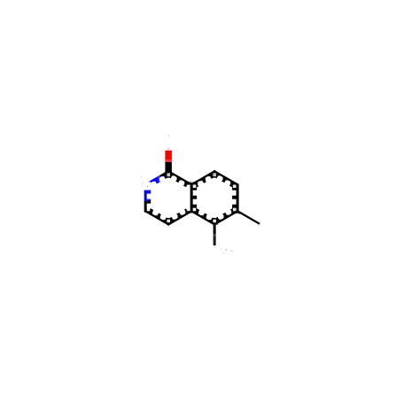 COc1c(C)ccc2c(=O)[nH]ccc12